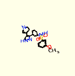 COc1cccc(S(=O)(=O)Nc2cccc(-c3n[nH]cc3-c3ccncc3)c2)c1